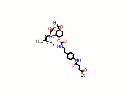 CCC(=O)CCC(=O)Nc1ccc(CCNC(=O)O[C@@H]2CC[C@]3(CO3)[C@@H](C3(C)O[C@@H]3CC=C(C)C)[C@@H]2OC)cc1